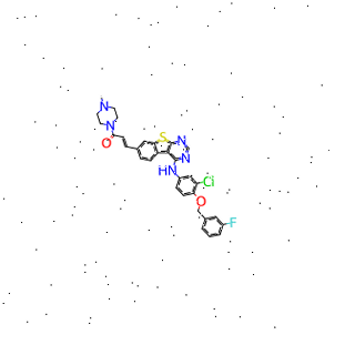 CN1CCN(C(=O)C=Cc2ccc3c(c2)sc2ncnc(Nc4ccc(OCc5cccc(F)c5)c(Cl)c4)c23)CC1